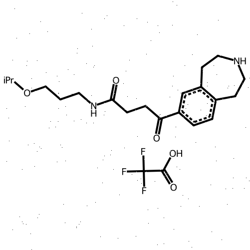 CC(C)OCCCNC(=O)CCC(=O)c1ccc2c(c1)CCNCC2.O=C(O)C(F)(F)F